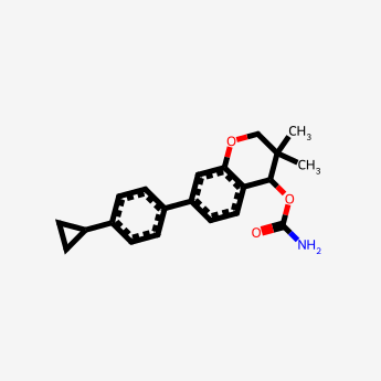 CC1(C)COc2cc(-c3ccc(C4CC4)cc3)ccc2C1OC(N)=O